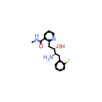 CNC(=O)c1cccnc1C[C@H](O)[C@H](N)Cc1ccccc1F